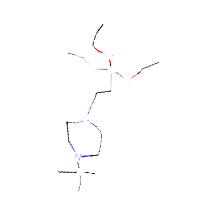 CCO[Si](CCN1CCN([Si](C)(C)C)CC1)(OCC)OCC